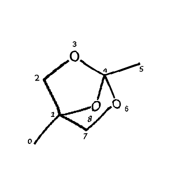 CC12COC(C)(OC1)O2